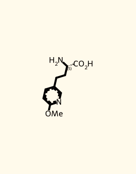 COc1ccc(CC[C@H](N)C(=O)O)cn1